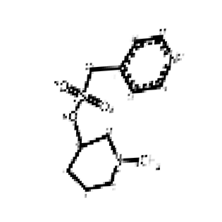 CN1CCCC(OS(=O)(=O)Cc2ccncc2)C1